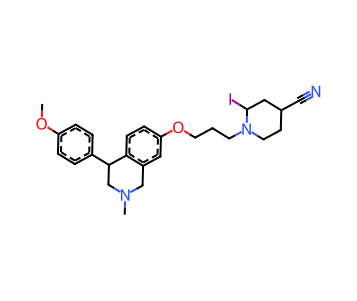 COc1ccc(C2CN(C)Cc3cc(OCCCN4CCC(C#N)CC4I)ccc32)cc1